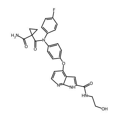 NC(=O)C1(C(=O)N(c2ccc(F)cc2)c2ccc(Oc3ccnc4[nH]c(C(=O)NCCO)cc34)cc2)CC1